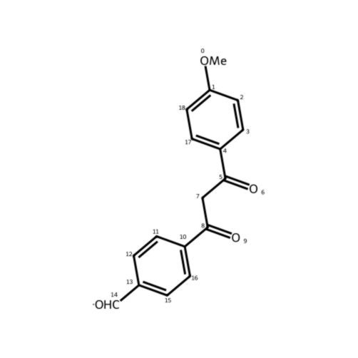 COc1ccc(C(=O)CC(=O)c2ccc([C]=O)cc2)cc1